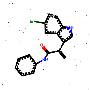 C=C(C(=O)Nc1ccccc1)c1c[nH]c2ccc(Br)cc12